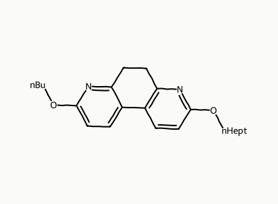 CCCCCCCOc1ccc2c(n1)CCc1nc(OCCCC)ccc1-2